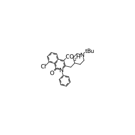 CC(C)(C)N1CCC(Cc2c(C(=O)O)c3cccc(Cl)c3c(=O)n2-c2ccccc2)CC1